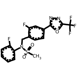 CS(=O)(=O)N(Cc1ccc(-c2nnc(C(F)(F)F)o2)cc1F)c1ccccc1F